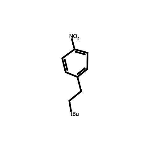 CC(C)(C)CCc1ccc([N+](=O)[O-])cc1